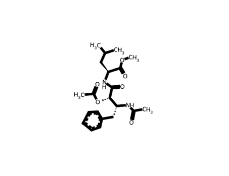 COC(=O)[C@H](CC(C)C)NC(=O)[C@@H](OC(C)=O)[C@@H](Cc1ccccc1)NC(C)=O